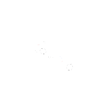 COC(=O)c1cc(OCCCNC(=O)Cc2cccc(C(F)(F)F)c2)c(OC)cc1[N+](=O)[O-]